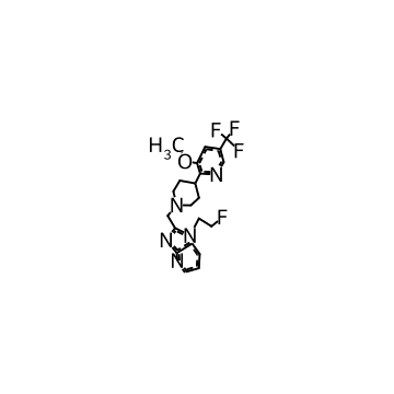 COc1cc(C(F)(F)F)cnc1C1CCN(Cc2nc3ncccc3n2CCF)CC1